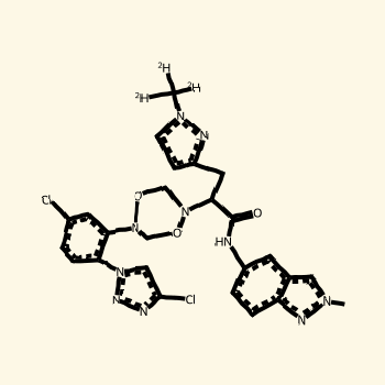 [2H]C([2H])([2H])n1ccc(CC(C(=O)Nc2ccc3nn(C)cc3c2)N2CON(c3cc(Cl)ccc3-n3cc(Cl)nn3)CO2)n1